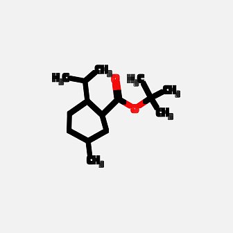 CC1CCC(C(C)C)C(C(=O)OC(C)(C)C)C1